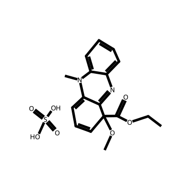 CCOC(=O)C1(OC)C=CC=C2C1=Nc1ccccc1N2C.O=S(=O)(O)O